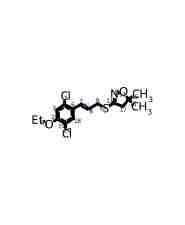 CCOc1cc(Cl)c(/C=C/CSC2=NOC(C)(C)C2)cc1Cl